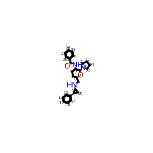 O=C(NC1CCC(CN[C@@H]2C[C@H]2c2ccccc2)OC1N1CCCC1)c1ccccc1